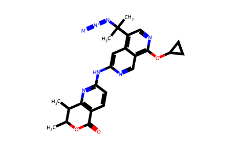 CC1OC(=O)c2ccc(Nc3cc4c(C(C)(C)N=[N+]=[N-])cnc(OC5CC5)c4cn3)nc2C1C